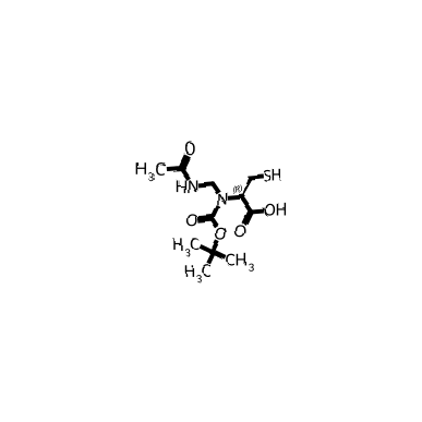 CC(=O)NCN(C(=O)OC(C)(C)C)[C@@H](CS)C(=O)O